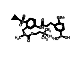 COc1ccc(B(O)O)cc1CCC(=O)Nc1ccc(S(=O)(=O)C2CC2)c(CN(C)C(=O)OCC[Si](C)(C)C)c1